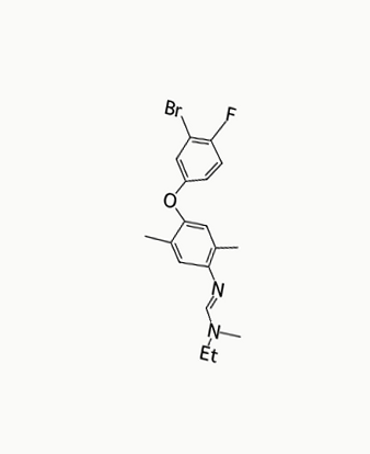 CCN(C)C=Nc1cc(C)c(Oc2ccc(F)c(Br)c2)cc1C